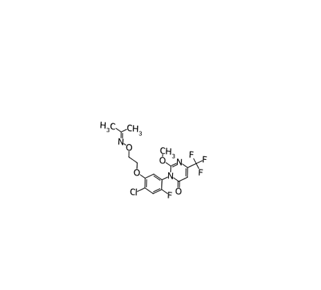 COc1nc(C(F)(F)F)cc(=O)n1-c1cc(OCCON=C(C)C)c(Cl)cc1F